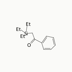 CC[Si](CC)(CC)CC(=O)c1ccccc1